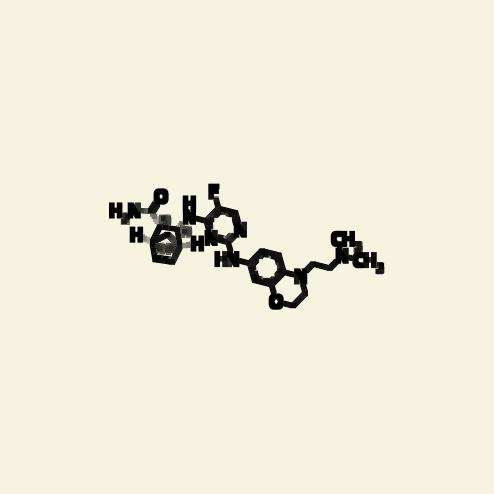 CN(C)CCN1CCOc2cc(Nc3ncc(F)c(N[C@H]4[C@@H](C(N)=O)[C@@H]5C=C[C@H]4C5)n3)ccc21